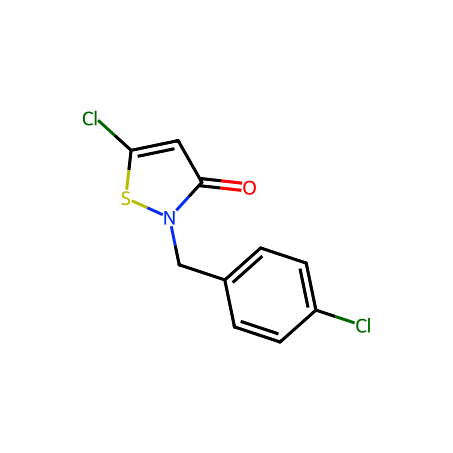 O=c1cc(Cl)sn1Cc1ccc(Cl)cc1